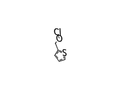 ClOCc1cccs1